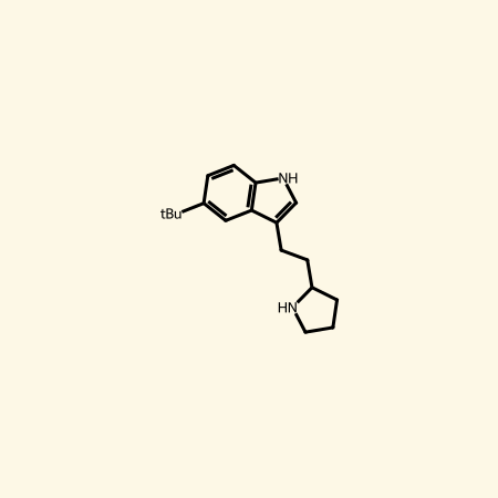 CC(C)(C)c1ccc2[nH]cc(CCC3CCCN3)c2c1